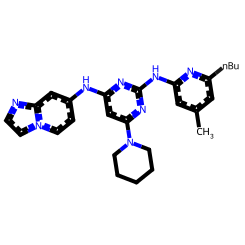 CCCCc1cc(C)cc(Nc2nc(Nc3ccn4ccnc4c3)cc(N3CCCCC3)n2)n1